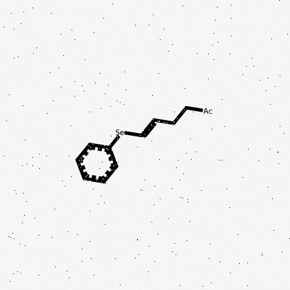 CC(=O)CCC=C[Se]c1ccccc1